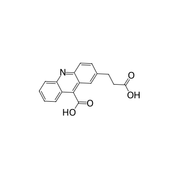 O=C(O)CCc1ccc2nc3ccccc3c(C(=O)O)c2c1